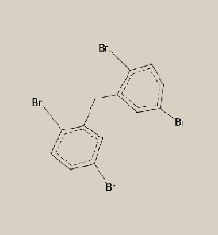 Brc1ccc(Br)c(Cc2cc(Br)ccc2Br)c1